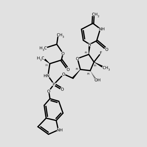 C=C1C=CN([C@@H]2O[C@H](COP(=O)(N[C@@H](C)C(=O)OC(C)C)Oc3ccc4[nH]ccc4c3)[C@@H](O)[C@@]2(C)F)C(=O)N1